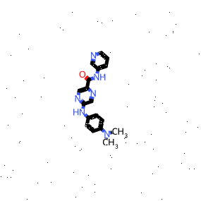 CN(C)c1ccc(Nc2cnc(C(=O)Nc3cccnc3)cn2)cc1